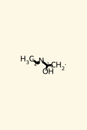 [CH2]C(O)N=CC